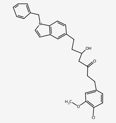 COc1cc(CCC(=O)CC(O)CCc2ccc3c(ccn3Cc3ccccc3)c2)ccc1Cl